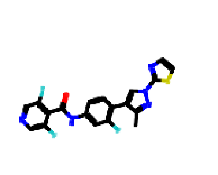 Cc1nn(-c2nccs2)cc1-c1ccc(NC(=O)c2c(F)cncc2F)cc1F